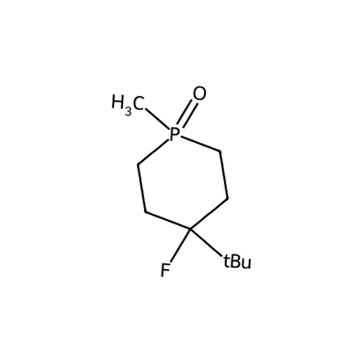 CC(C)(C)C1(F)CCP(C)(=O)CC1